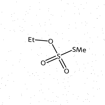 CCOS(=O)(=O)SC